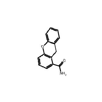 NC(=O)c1cccc2c1Cc1ccccc1O2